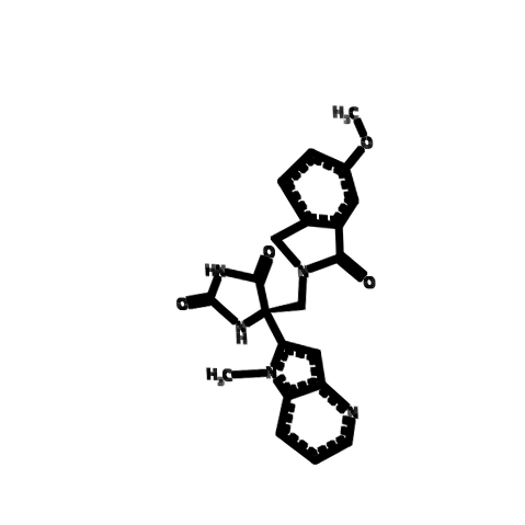 COc1ccc2c(c1)C(=O)N(C[C@@]1(c3cc4ncccc4n3C)NC(=O)NC1=O)C2